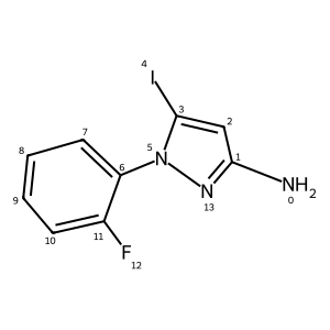 Nc1cc(I)n(-c2ccccc2F)n1